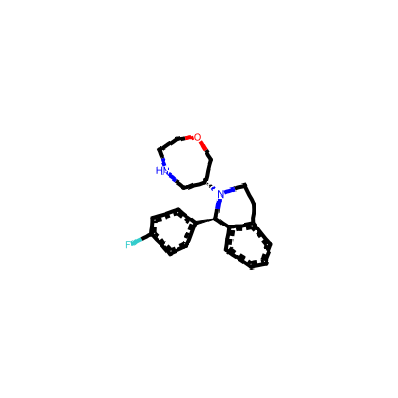 Fc1ccc([C@@H]2c3ccccc3CCN2[C@@H]2CNCCOC2)cc1